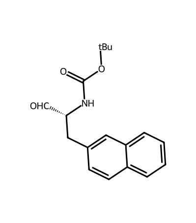 CC(C)(C)OC(=O)N[C@@H](C=O)Cc1ccc2ccccc2c1